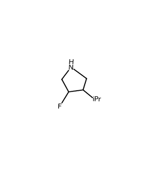 CC(C)C1CNCC1F